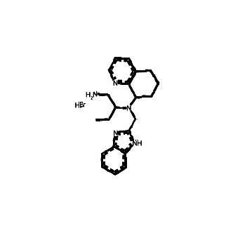 Br.CCC(CN)N(Cc1nc2ccccc2[nH]1)C1CCCc2cccnc21